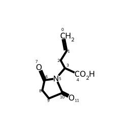 C=CCC(C(=O)O)N1C(=O)CCC1=O